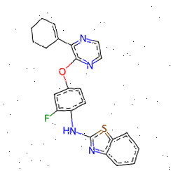 Fc1cc(Oc2nccnc2C2=CCCCC2)ccc1Nc1nc2ccccc2s1